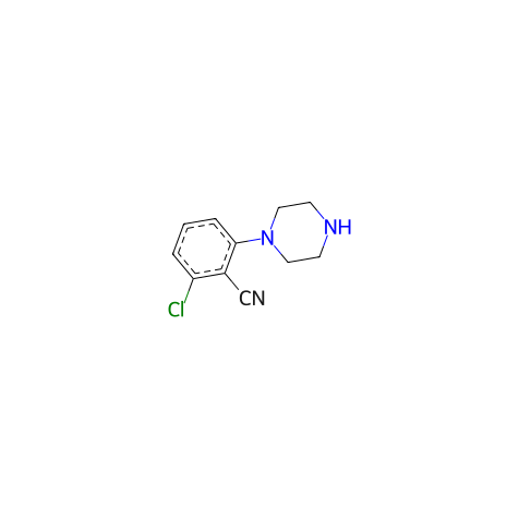 N#Cc1c(Cl)cccc1N1CCNCC1